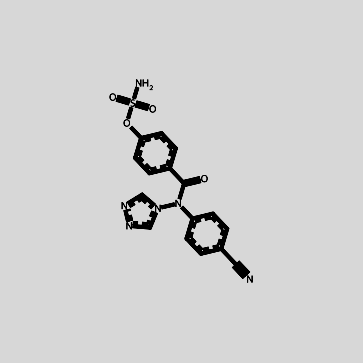 N#Cc1ccc(N(C(=O)c2ccc(OS(N)(=O)=O)cc2)n2cnnc2)cc1